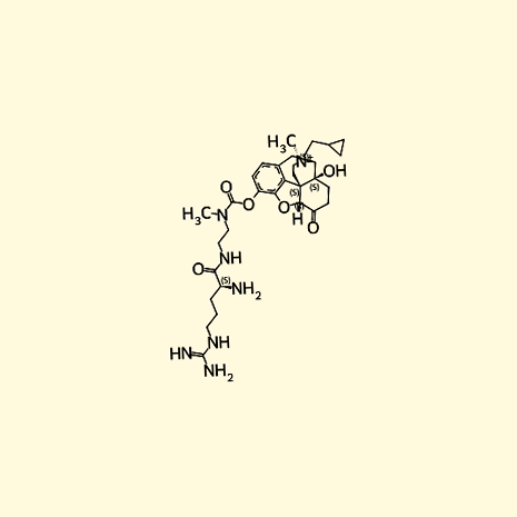 CN(CCNC(=O)[C@@H](N)CCCNC(=N)N)C(=O)Oc1ccc2c3c1O[C@H]1C(=O)CC[C@@]4(O)C(C2)[N@+](C)(CC2CC2)CC[C@]314